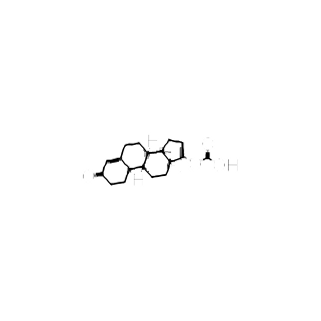 C[C@]12CC[C@H]3[C@@H](CCC4=CC(=O)CC[C@@]43C)[C@@H]1CC[C@@H]2OC(=O)O